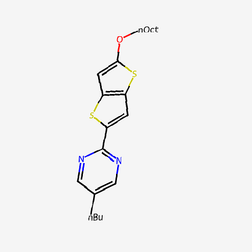 CCCCCCCCOc1cc2sc(-c3ncc(CCCC)cn3)cc2s1